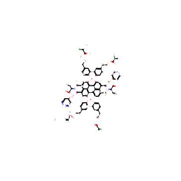 C=C(Cl)C(=O)OCCc1ccc(Oc2cc3c4c(cc(Oc5ccc(CCOC(=O)C(=C)Cl)cc5)c5c6c(Oc7ccc(CCOC(=O)C(=C)Cl)cc7)cc7c8c(cc(Oc9ccc(CCOC(=O)C(=C)Cl)cc9)c(c2c45)c86)C(=O)N(C(CC(F)(F)F)C(=O)Oc2ccncc2)C7=O)C(=O)N(C(CC(F)(F)F)C(=O)Oc2ccncc2)C3=O)cc1